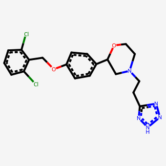 Clc1cccc(Cl)c1COc1ccc(C2CN(CCc3nn[nH]n3)CCO2)cc1